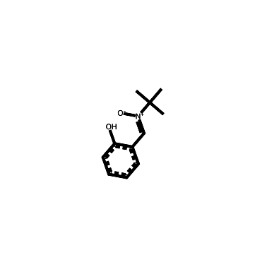 CC(C)(C)/[N+]([O-])=C/c1ccccc1O